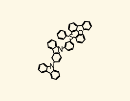 C1=CC(n2c3ccccc3c3ccccc32)Cc2c1n(-c1cccc(S(c3ccccc3)(c3ccccc3)c3cccc4c3oc3ccccc34)c1)c1ccccc21